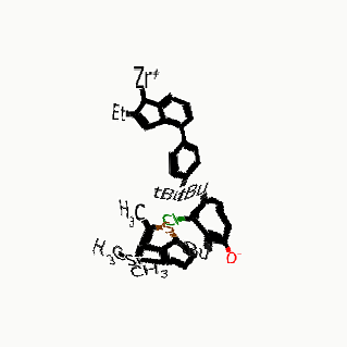 CC(C)(C)c1ccc([O-])c(C(C)(C)C)c1Cl.CC1=C2C3C(=CC=C3[Si]2(C)C)S1.CCC1=Cc2c(-c3ccc(C(C)(C)C)cc3)cccc2[CH]1[Zr+]